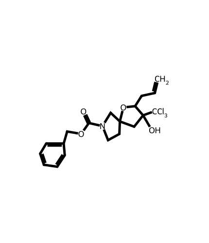 C=CCC1OC2(CCN(C(=O)OCc3ccccc3)C2)CC1(O)C(Cl)(Cl)Cl